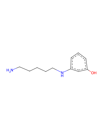 NCCCCCNc1cccc(O)c1